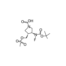 CC(C)(C)OC(=O)N(F)[C@@H]1CN(C(=O)O)C[C@@H]1COS(C)(=O)=O